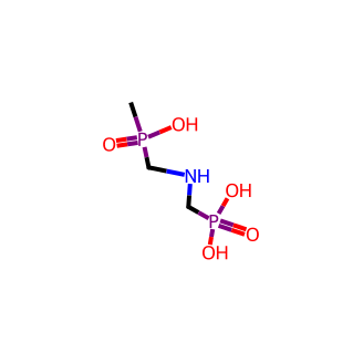 CP(=O)(O)CNCP(=O)(O)O